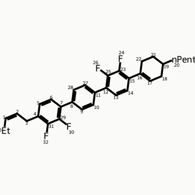 CC/C=C\Cc1ccc(-c2ccc(-c3ccc(C4=CCC(CCCCC)CC4)c(F)c3F)cc2)c(F)c1F